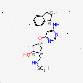 C[C@H]1Cc2ccccc2[C@H]1Nc1cc(O[C@@H]2C[C@@H](CNS(=O)(=O)O)[C@@H](O)C2)ncn1